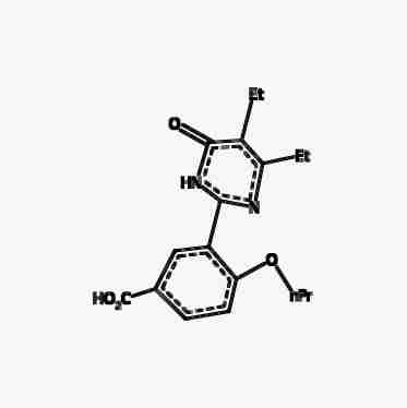 CCCOc1ccc(C(=O)O)cc1-c1nc(CC)c(CC)c(=O)[nH]1